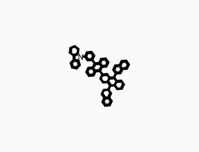 C1=CCC2C(=C1)C(c1ccc3ccccc3c1)=C1C=C(c3c4ccccc4c(-c4cccc(-n5c6c(c7ccccc75)C=CCC6)c4)c4ccccc34)CCC1=C2C1C=c2ccccc2=CC1